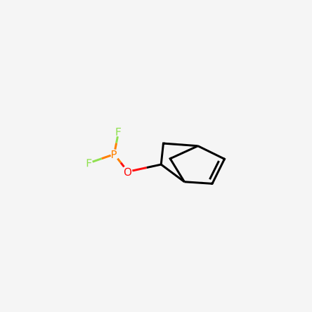 FP(F)OC1CC2C=CC1C2